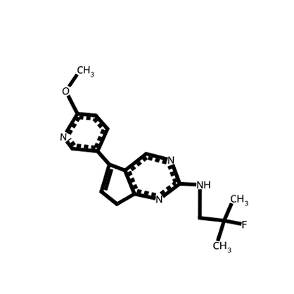 COc1ccc(C2=CCc3nc(NCC(C)(C)F)ncc32)cn1